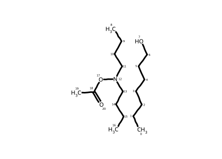 CCCCCCCO.CCCCN(CCCC)OC(C)=O